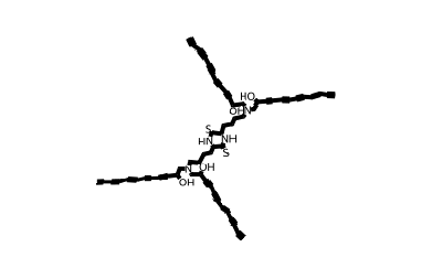 C#CC#CC#CC#CC#CC(O)CN(CCCCC1NC(=S)C(CCCCN(CC(O)C#CC#CC#CC#CC#C)CC(O)C#CC#CC#CC#CC#C)NC1=S)CC(O)C#CC#CC#CC#CC#C